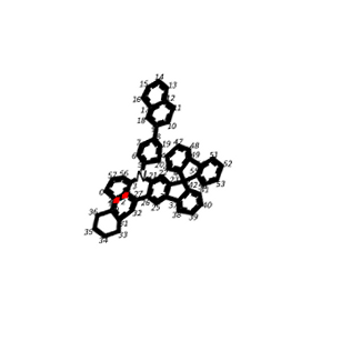 c1ccc(N(c2ccc(-c3ccc4ccccc4c3)cc2)c2cc3c(cc2-c2ccc4c(c2)CCCC4)-c2ccccc2C32c3ccccc3-c3ccccc32)cc1